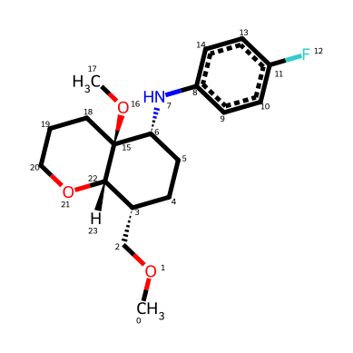 COC[C@H]1CC[C@@H](Nc2ccc(F)cc2)[C@@]2(OC)CCCO[C@@H]12